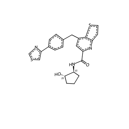 O=C(N[C@H]1CCC[C@@H]1O)c1cc(Cc2ccc(-c3cscn3)cc2)c2sccc2n1